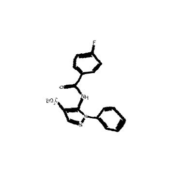 CCOC(=O)c1cnn(-c2ccccc2)c1NC(=O)c1ccc(F)cc1